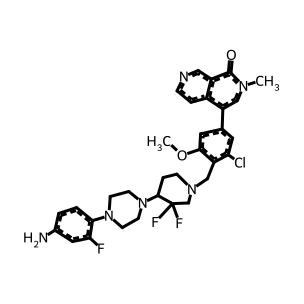 COc1cc(-c2cn(C)c(=O)c3cnccc23)cc(Cl)c1CN1CCC(N2CCN(c3ccc(N)cc3F)CC2)C(F)(F)C1